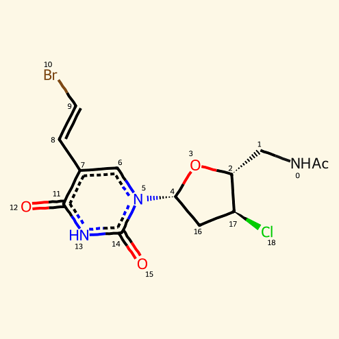 CC(=O)NC[C@H]1O[C@@H](n2cc(C=CBr)c(=O)[nH]c2=O)C[C@@H]1Cl